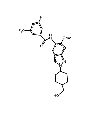 COc1cc2nn(C3CCC(CO)CC3)cc2cc1NC(=O)c1cc(F)cc(C(F)(F)F)c1